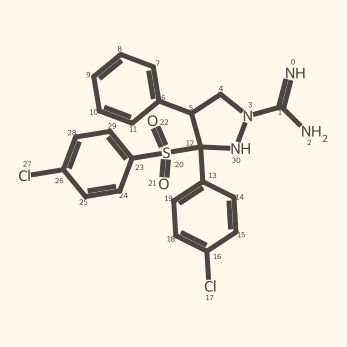 N=C(N)N1CC(c2ccccc2)C(c2ccc(Cl)cc2)(S(=O)(=O)c2ccc(Cl)cc2)N1